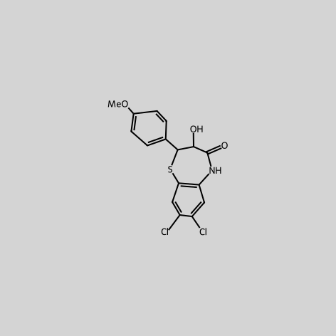 COc1ccc(C2Sc3cc(Cl)c(Cl)cc3NC(=O)C2O)cc1